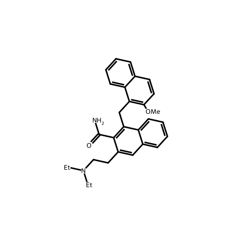 CCN(CC)CCc1cc2ccccc2c(Cc2c(OC)ccc3ccccc23)c1C(N)=O